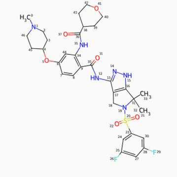 CN1CCC(Oc2ccc(C(=O)Nc3n[nH]c4c3CN(S(=O)(=O)c3cc(F)cc(F)c3)C4(C)C)c(NC(=O)C3CCOCC3)c2)CC1